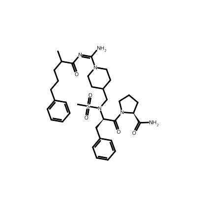 CC(CCCc1ccccc1)C(=O)N=C(N)N1CCC(CN([C@H](Cc2ccccc2)C(=O)N2CCC[C@H]2C(N)=O)S(C)(=O)=O)CC1